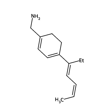 C/C=C\C=C(/CC)C1=CC=C(CN)CC1